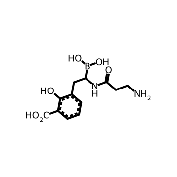 NCCC(=O)NC(Cc1cccc(C(=O)O)c1O)B(O)O